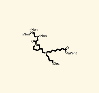 CCCCCCCCCCCCCCN(CCCCCCCC(=O)OCCCCC)CCC1CCCN(C(=O)CN(CCCCCCCCC)CCN(CCCCCCCCC)CCCCCCCCC)C1